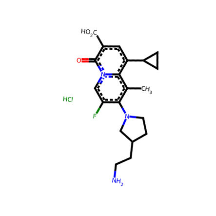 Cc1c(N2CCC(CCN)C2)c(F)cn2c(=O)c(C(=O)O)cc(C3CC3)c12.Cl